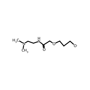 CN(C)CCNC(=O)COCCC[O]